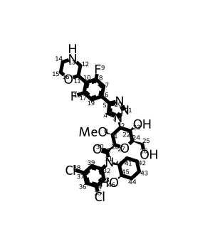 CO[C@@H]1[C@@H](n2cc(-c3cc(F)c(C4CNCCO4)c(F)c3)nn2)[C@@H](O)[C@@H](CO)O[C@H]1C(=O)N(c1cc(Cl)cc(Cl)c1)[C@H]1CCCC[C@@H]1O